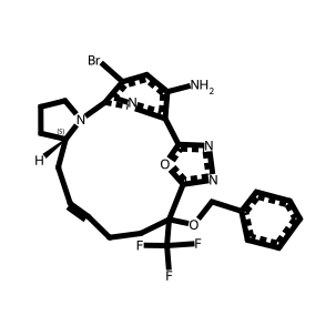 Nc1cc(Br)c2nc1-c1nnc(o1)C(OCc1ccccc1)(C(F)(F)F)CCC=CC[C@@H]1CCCN21